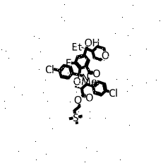 CC[C@@](O)(c1cc(F)c2c(c1)C(=O)N([C@H](c1ccc(Cl)cc1)[C@H](C)C(=O)OCCS(C)(C)C)[C@@]2(OC)c1ccc(Cl)cc1)C1CCOCC1